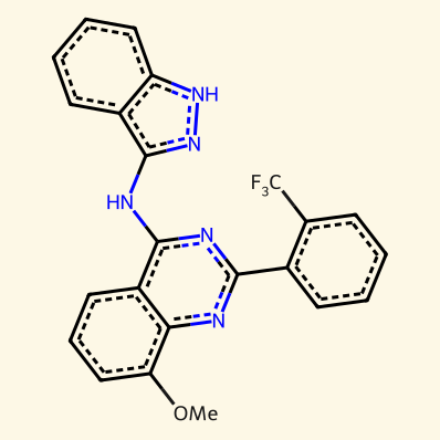 COc1cccc2c(Nc3n[nH]c4ccccc34)nc(-c3ccccc3C(F)(F)F)nc12